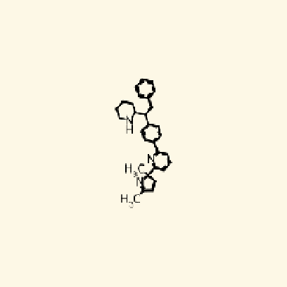 CC1=NC(C)(c2cccc(-c3ccc(C(Cc4ccccc4)C4CCCCN4)cc3)n2)C=C1